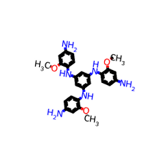 COc1cc(N)ccc1Nc1cc(Nc2ccc(N)cc2OC)cc(Nc2ccc(N)cc2OC)c1